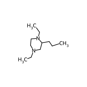 CCCC1CN(CC)CCN1CC